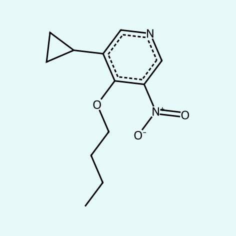 CCCCOc1c(C2CC2)cncc1[N+](=O)[O-]